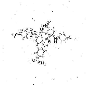 Cc1ccc(Nc2ccc([N+](=O)[O-])c3c2C(=O)c2c(Nc4ccc(C(C)C)cc4)ccc(OS(=O)(=O)c4ccc(C)cc4)c2C3=O)cc1